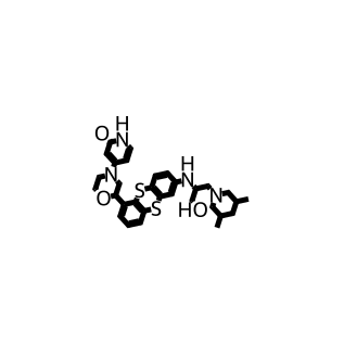 CC1CC(C)CN(CC(CO)Nc2ccc3c(c2)Sc2cccc(C4CN(c5cc[nH]c(=O)c5)CCO4)c2S3)C1